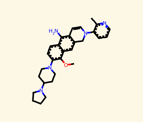 COc1c(N2CCC(N3CCCC3)CC2)ccc2c(N)c3c(cc12)CN(c1cccnc1C)C=C3